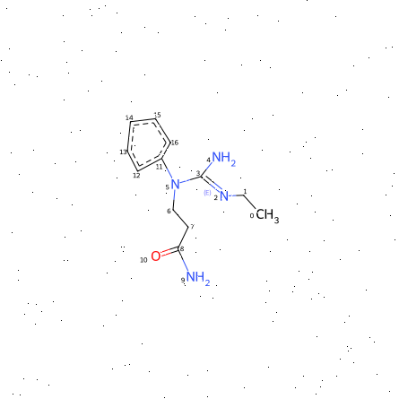 CC/N=C(\N)N(CCC(N)=O)c1ccccc1